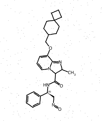 CC1N=C2C(OCC3CCC4(CCC4)CC3)=CC=CN2C1C(=O)N[C@@H](CN=O)c1ccccc1